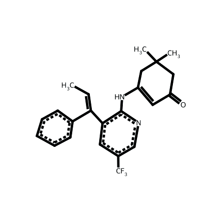 C/C=C(\c1ccccc1)c1cc(C(F)(F)F)cnc1NC1=CC(=O)CC(C)(C)C1